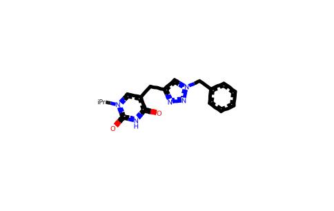 CC(C)n1cc(Cc2cn(Cc3ccccc3)nn2)c(=O)[nH]c1=O